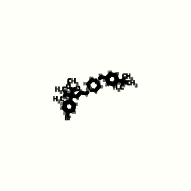 COC(=O)C(CCCN1CCN(Cc2ccc(C(C)(C)C)cc2)CC1)(c1ccc(Br)cc1)C(C)C